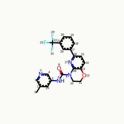 Cc1cncc(NC(=O)N2CCOc3ccc(-c4cccc(C(F)(F)F)c4)nc32)c1